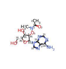 CC(=O)N(C)O[C@@H]1[C@H](O)[C@@H](CO)O[C@H]1n1cnc2c(N)ncnc21